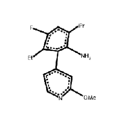 CCc1c(F)cc(C(C)C)c(N)c1-c1ccnc(OC)c1